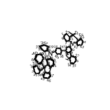 CC1(C)c2ccccc2N(c2cc(-c3ccc(N(c4ccccc4)c4ccc5c(c4)C(c4ccccc4)(c4ccccc4)c4ccccc4-5)cc3)c3sc4ccccc4c3c2)c2ccccc21